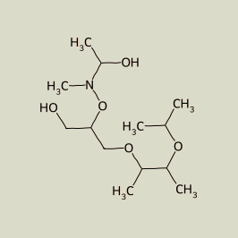 CC(C)OC(C)C(C)OCC(CO)ON(C)C(C)O